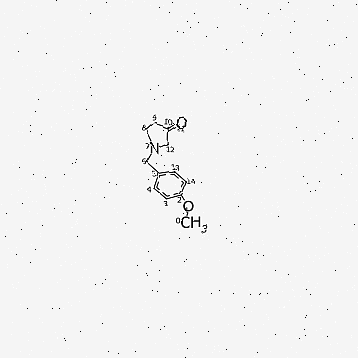 COc1ccc(CN2CCC(=O)C2)cc1